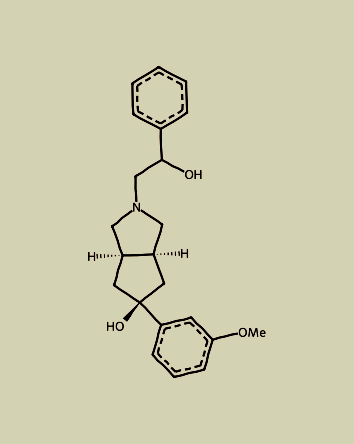 COc1cccc([C@]2(O)C[C@H]3CN(CC(O)c4ccccc4)C[C@H]3C2)c1